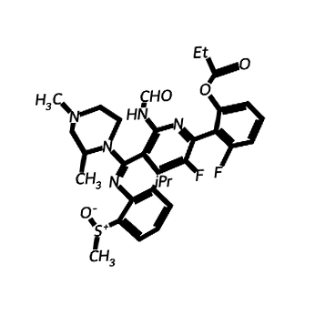 CCC(=O)Oc1cccc(F)c1-c1nc(NC=O)c(/C(=N\c2c(C(C)C)cccc2[S+](C)[O-])N2CCN(C)CC2C)cc1F